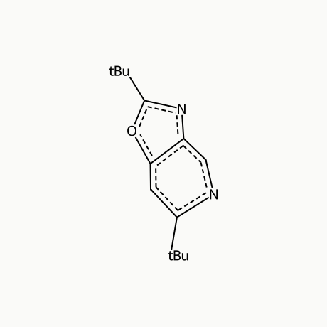 CC(C)(C)c1cc2oc(C(C)(C)C)nc2cn1